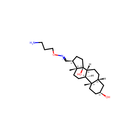 C[C@]12CC[C@H](O)C[C@H]1CC[C@@H]1[C@@H]2CC[C@]2(C)[C@@H](/C=N/OCCCN)CC[C@]12O